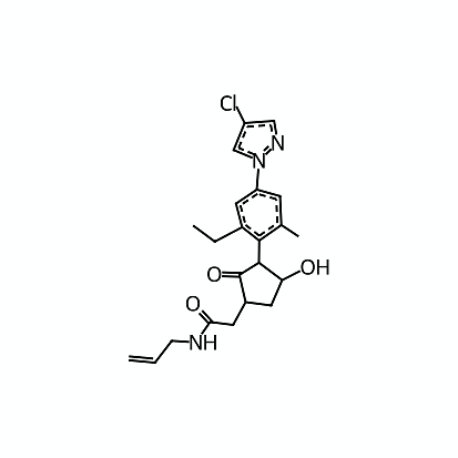 C=CCNC(=O)CC1CC(O)C(c2c(C)cc(-n3cc(Cl)cn3)cc2CC)C1=O